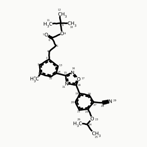 Cc1cc(CCC(=O)OC(C)(C)C)cc(-c2noc(-c3ccc(OC(C)C)c(C#N)c3)n2)c1